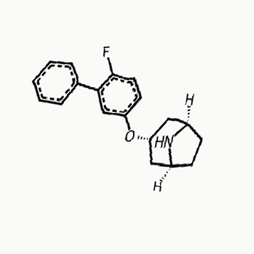 Fc1ccc(O[C@@H]2C[C@H]3CC[C@@H](C2)N3)cc1-c1ccccc1